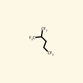 FC(F)(F)CCC(C(F)(F)F)C(F)(F)F